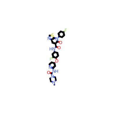 CN1CCN(C(=O)Nc2cc(Oc3ccc(NC(=O)c4cc5ncsc5n(-c5ccc(F)cc5)c4=O)cc3F)ccn2)CC1